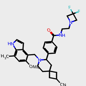 COc1cc(C)c2[nH]ccc2c1CN1CCC2(CC(C#N)C2)CC1c1ccc(C(=O)NCCN2CC(F)(F)C2)cc1